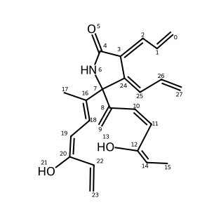 C=C/C=C1/C(=O)NC(C(=C)/C=C\C(O)=C/C)(/C(C)=C/C=C(/O)C=C)/C1=C/C=C